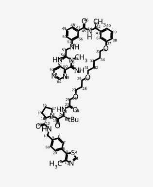 Cc1ncsc1-c1ccc(CNC(=O)[C@@H]2CCCN2C(=O)[C@@H](NC(=O)COCCCOCCCCCOc2cccc([C@H](C)NC(=O)c3cccc(NCC(=N)N(C)C(=N)c4ccncn4)c3)c2)C(C)(C)C)cc1